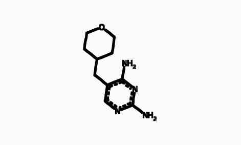 Nc1ncc(CC2CCOCC2)c(N)n1